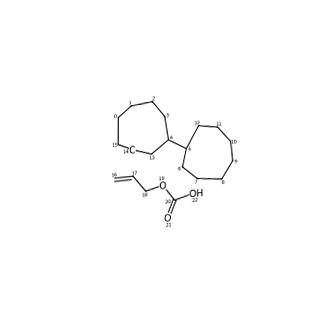 C1CCCC(C2CCCCCCC2)CCC1.C=CCOC(=O)O